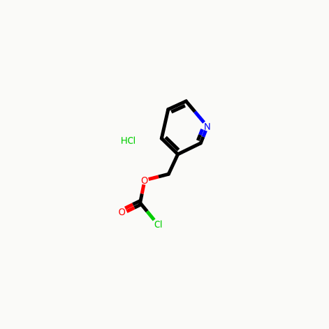 Cl.O=C(Cl)OCc1cccnc1